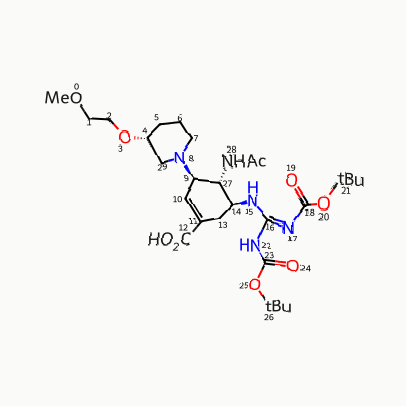 COCCO[C@@H]1CCCN([C@@H]2C=C(C(=O)O)C[C@H](N/C(=N\C(=O)OC(C)(C)C)NC(=O)OC(C)(C)C)[C@H]2NC(C)=O)C1